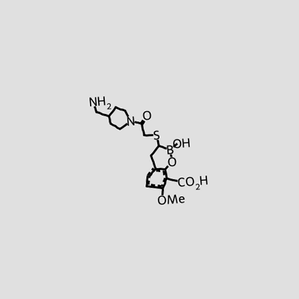 COc1ccc2c(c1C(=O)O)OB(O)C(SCC(=O)N1CCC(CN)CC1)C2